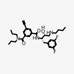 C#Cc1cc(C(=O)N[C@@H](Cc2cc(F)cc(F)c2)[C@H](O)CNCCCC)cc(C(=O)N(CCC)CCC)c1